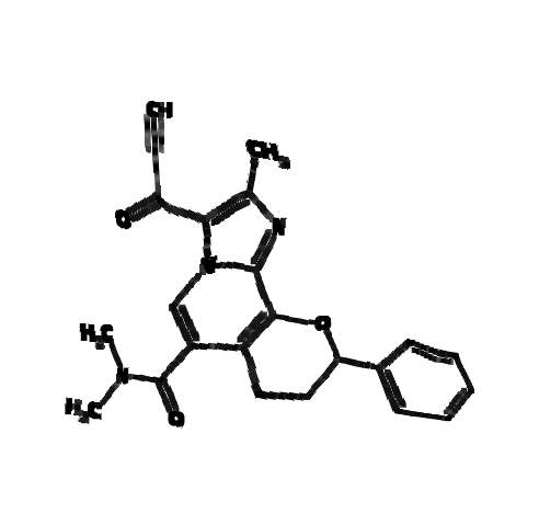 C#CC(=O)c1c(C)nc2c3c(c(C(=O)N(C)C)cn12)CCC(c1ccccc1)O3